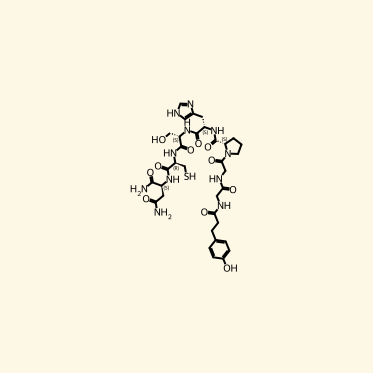 NC(=O)C[C@H](NC(=O)[C@H](CS)NC(=O)[C@H](CO)NC(=O)[C@H](Cc1c[nH]cn1)NC(=O)[C@@H]1CCCN1C(=O)CNC(=O)CNC(=O)CCc1ccc(O)cc1)C(N)=O